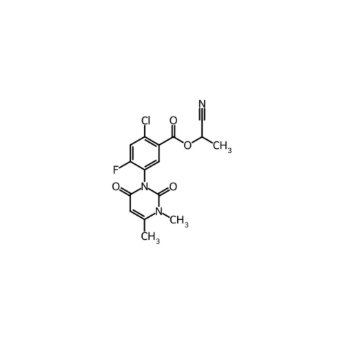 Cc1cc(=O)n(-c2cc(C(=O)OC(C)C#N)c(Cl)cc2F)c(=O)n1C